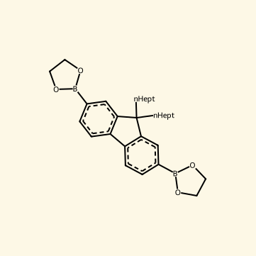 CCCCCCCC1(CCCCCCC)c2cc(B3OCCO3)ccc2-c2ccc(B3OCCO3)cc21